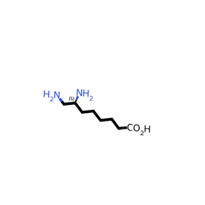 NC[C@@H](N)CCCCCC(=O)O